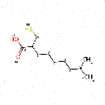 CC(C)CCCCCC(CS)C(=O)O